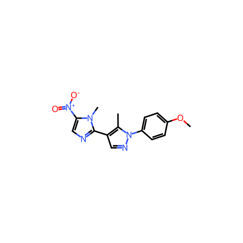 COc1ccc(-n2ncc(-c3ncc([N+](=O)[O-])n3C)c2C)cc1